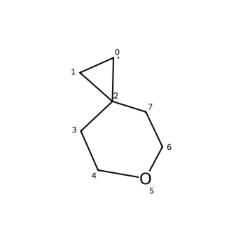 [CH]1CC12CCOCC2